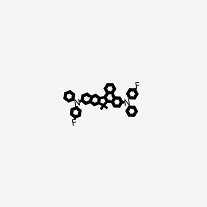 CC1(C)c2cc3cc(N(c4ccccc4)c4ccc(F)cc4)ccc3cc2-c2c1c1ccc(N(c3ccccc3)c3ccc(F)cc3)cc1c1ccccc21